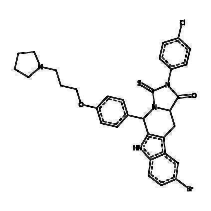 O=C1C2Cc3c([nH]c4ccc(Br)cc34)C(c3ccc(OCCCN4CCCC4)cc3)N2C(=S)N1c1ccc(Cl)cc1